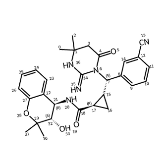 CC1(C)CC(=O)N([C@H](c2cccc(C#N)c2)C2C[C@H]2C(=O)N[C@@H]2c3ccccc3OC(C)(C)[C@H]2O)C(=N)N1